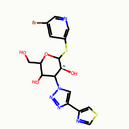 OCC1OC(Sc2cncc(Br)c2)[C@@H](O)C(n2cc(-c3cscn3)nn2)C1O